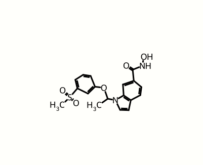 CC(Oc1cccc(S(C)(=O)=O)c1)n1ccc2ccc(C(=O)NO)cc21